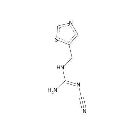 N#CN=C(N)NCc1cncs1